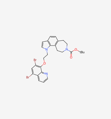 CC(C)(C)OC(=O)N1CCc2ccc3ccn(CCOc4c(Br)cc(Br)c5cccnc45)c3c2CC1